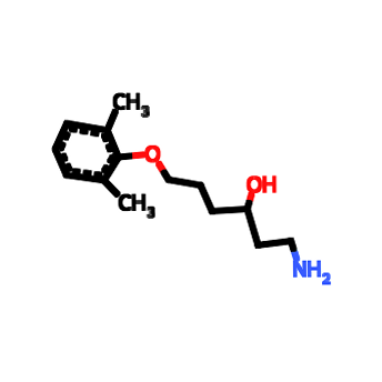 Cc1cccc(C)c1OCCCC(O)CCN